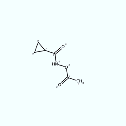 CC(=O)ONC(=O)C1CC1